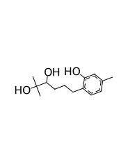 Cc1ccc(CCCC(O)C(C)(C)O)c(O)c1